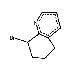 BrC1CCCc2cccnc21